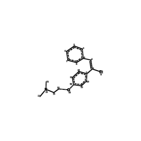 CCC(=Cc1ccccc1)c1ccc(OCCN(C)C)cc1